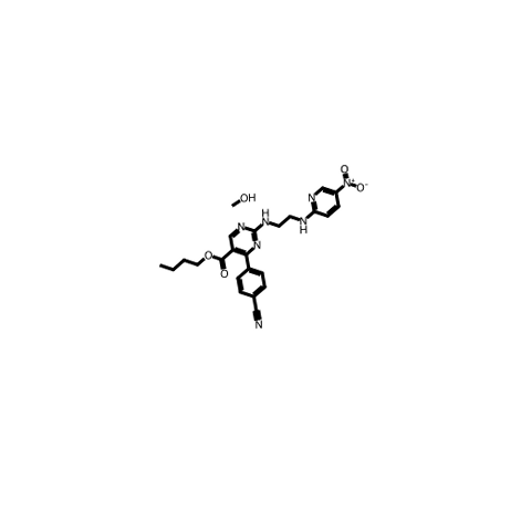 CCCCOC(=O)c1cnc(NCCNc2ccc([N+](=O)[O-])cn2)nc1-c1ccc(C#N)cc1.CO